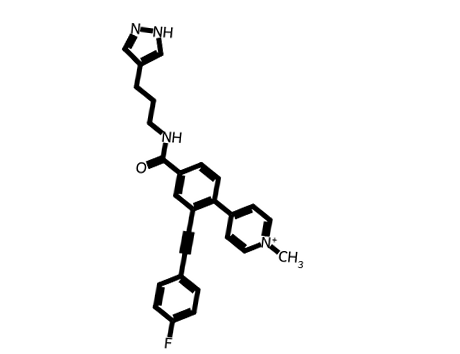 C[n+]1ccc(-c2ccc(C(=O)NCCCc3cn[nH]c3)cc2C#Cc2ccc(F)cc2)cc1